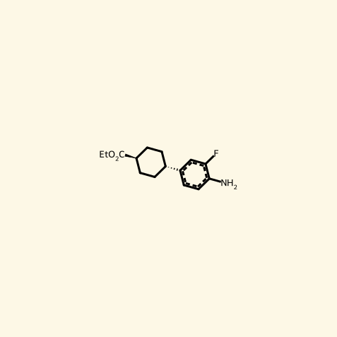 CCOC(=O)[C@H]1CC[C@H](c2ccc(N)c(F)c2)CC1